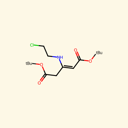 CC(C)(C)OC(=O)C=C(CC(=O)OC(C)(C)C)NCCCl